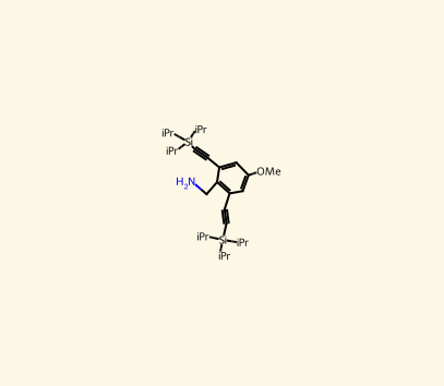 COc1cc(C#C[Si](C(C)C)(C(C)C)C(C)C)c(CN)c(C#C[Si](C(C)C)(C(C)C)C(C)C)c1